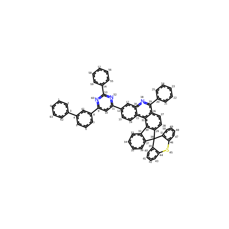 c1ccc(-c2cccc(-c3cc(-c4ccc5c(c4)nc(-c4ccccc4)c4ccc6c(c45)-c4ccccc4C64c5ccccc5Sc5ccccc54)nc(-c4ccccc4)n3)c2)cc1